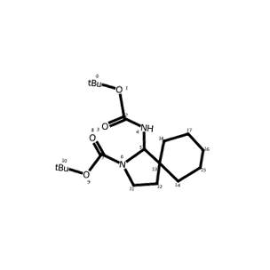 CC(C)(C)OC(=O)NC1N(C(=O)OC(C)(C)C)CCC12CCCCC2